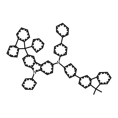 CC1(C)c2ccccc2-c2cc(-c3ccc(N(c4ccc(-c5ccccc5)cc4)c4ccc5c(c4)c4cc(C6(c7ccccc7)c7ccccc7-c7ccccc76)ccc4n5-c4ccccc4)cc3)ccc21